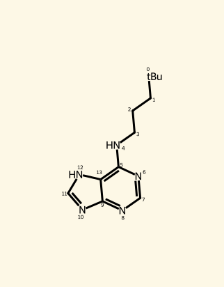 CC(C)(C)CCCNc1ncnc2nc[nH]c12